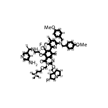 COc1ccc(CN(Cc2ccc(OC)cc2)c2cc(C)c(C(F)(F)F)c(-c3c(Cl)c(OCCN[C@H](C)c4cncc(N)c4)c4c(=O)n(COCC[Si](C)(C)C)c(OC[C@@]56CCCN5C[C@H](F)C6)nc4c3F)n2)cc1